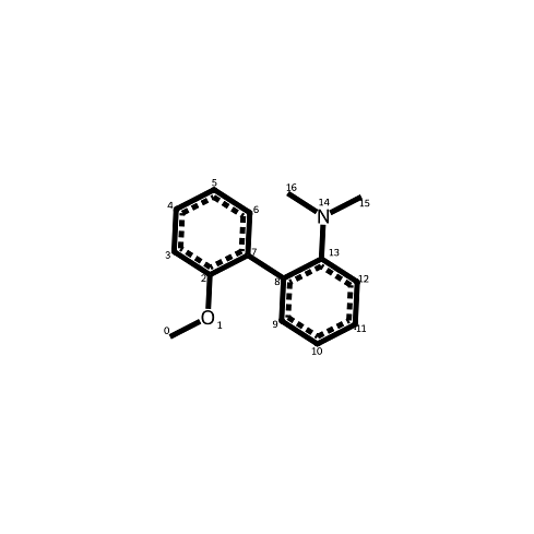 COc1ccccc1-c1cc[c]cc1N(C)C